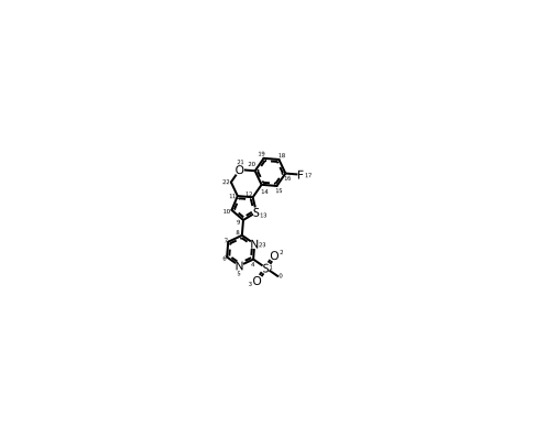 CS(=O)(=O)c1nccc(-c2cc3c(s2)-c2cc(F)ccc2OC3)n1